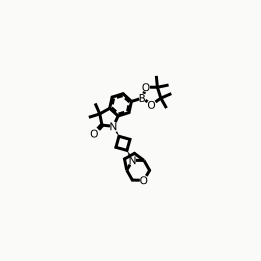 CC1(C)C(=O)N([C@H]2C[C@@H](N3C4CCC3COC4)C2)c2cc(B3OC(C)(C)C(C)(C)O3)ccc21